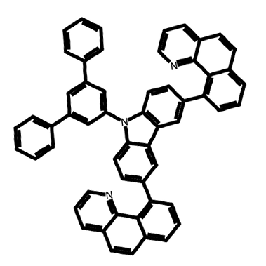 c1ccc(-c2cc(-c3ccccc3)cc(-n3c4ccc(-c5cccc6ccc7cccnc7c56)cc4c4cc(-c5cccc6ccc7cccnc7c56)ccc43)c2)cc1